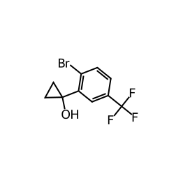 OC1(c2cc(C(F)(F)F)ccc2Br)CC1